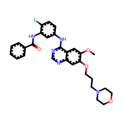 COc1cc2c(Nc3ccc(F)c(NC(=O)c4ccccc4)c3)ncnc2cc1OCCCN1CCOCC1